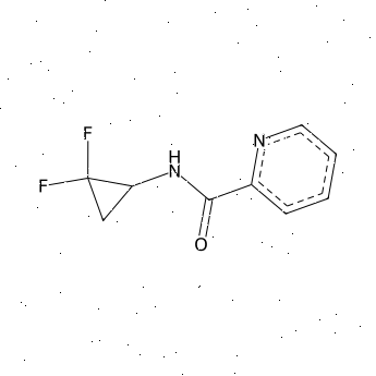 O=C(NC1CC1(F)F)c1ccccn1